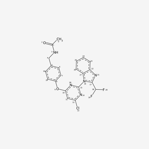 CC(=O)NCc1ccc(Oc2cc(Cl)nc(-n3c(C(F)F)nc4ccccc43)n2)cc1